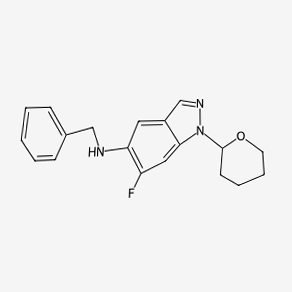 Fc1cc2c(cnn2C2CCCCO2)cc1NCc1ccccc1